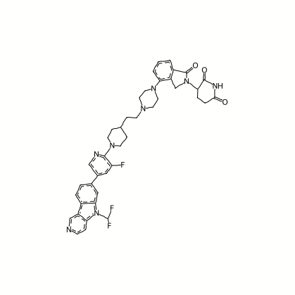 O=C1CCC(N2Cc3c(cccc3N3CCN(CCC4CCN(c5ncc(-c6ccc7c8cnccc8n(C(F)F)c7c6)cc5F)CC4)CC3)C2=O)C(=O)N1